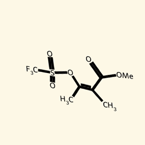 COC(=O)/C(C)=C(/C)OS(=O)(=O)C(F)(F)F